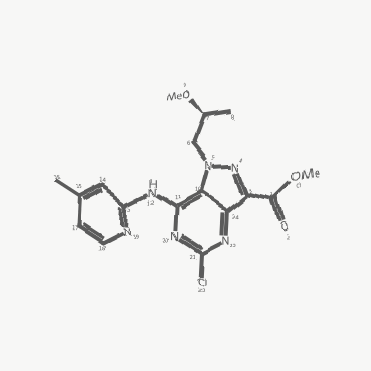 COC(=O)c1nn(C[C@H](C)OC)c2c(Nc3cc(C)ccn3)nc(Cl)nc12